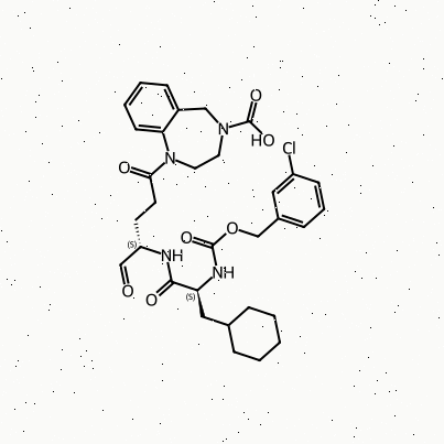 O=C[C@H](CCC(=O)N1CCN(C(=O)O)Cc2ccccc21)NC(=O)[C@H](CC1CCCCC1)NC(=O)OCc1cccc(Cl)c1